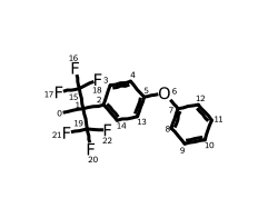 CC(c1ccc(Oc2ccccc2)cc1)(C(F)(F)F)C(F)(F)F